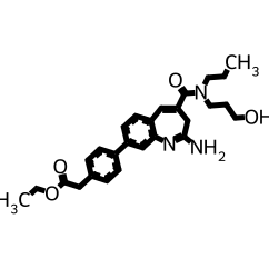 CCCN(CCCO)C(=O)C1=Cc2ccc(-c3ccc(CC(=O)OCC)cc3)cc2N=C(N)C1